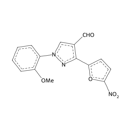 COc1ccccc1-n1cc(C=O)c(-c2ccc([N+](=O)[O-])o2)n1